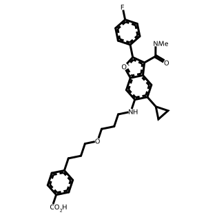 CNC(=O)c1c(-c2ccc(F)cc2)oc2cc(NCCCOCCCc3ccc(C(=O)O)cc3)c(C3CC3)cc12